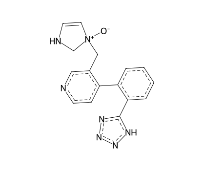 [O-][N+]1(Cc2cnccc2-c2ccccc2-c2nnn[nH]2)C=CNC1